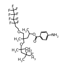 CCC(C)(C)CC(C)(C)OCC(C)(COCCC(F)(F)C(F)(F)C(F)(F)C(F)(F)F)CC(C)OC(=O)c1ccc(N)cc1